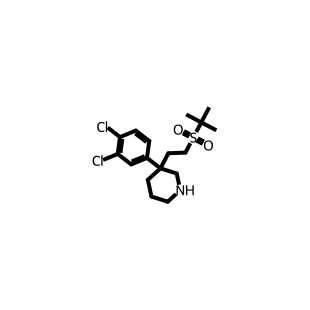 CC(C)(C)S(=O)(=O)CCC1(c2ccc(Cl)c(Cl)c2)CCCNC1